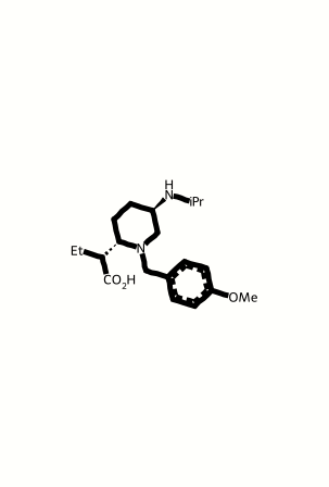 CCC(C(=O)O)[C@@H]1CC[C@@H](NC(C)C)CN1Cc1ccc(OC)cc1